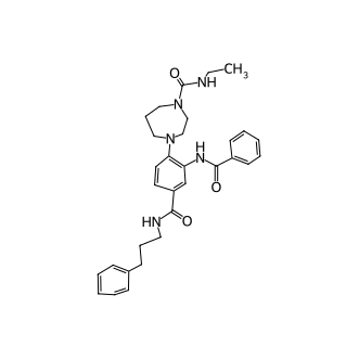 CCNC(=O)N1CCCN(c2ccc(C(=O)NCCCc3ccccc3)cc2NC(=O)c2ccccc2)CC1